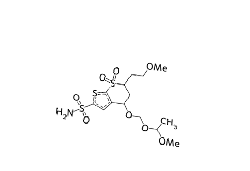 COCCC1CC(OCOC(C)OC)c2cc(S(N)(=O)=O)sc2S1(=O)=O